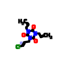 C=CCn1c(=O)n(CC=C)c(=O)n(C/C=C/Cl)c1=O